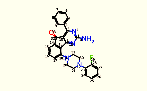 Nc1nc(-c2ccccc2)c2c(n1)-c1c(cccc1N1CCN(c3ccccc3F)CC1)C2=O